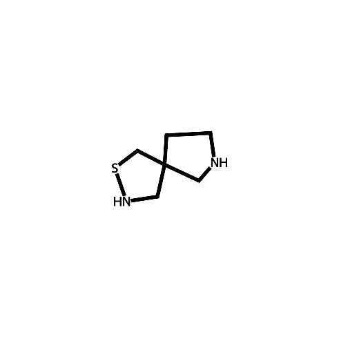 C1CC2(CN1)CNSC2